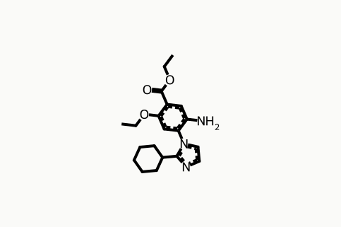 CCOC(=O)c1cc(N)c(-n2ccnc2C2CCCCC2)cc1OCC